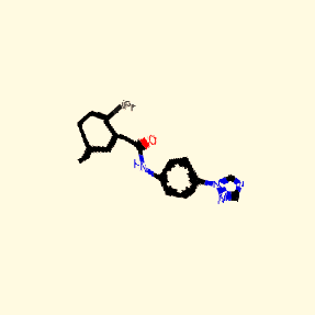 CC1CCC(C(C)C)C(C(=O)Nc2ccc(-n3cncn3)cc2)C1